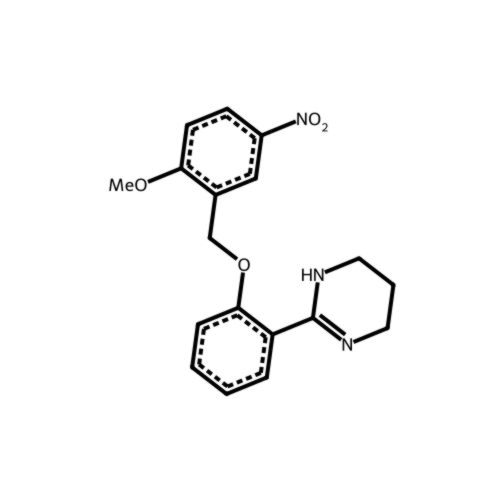 COc1ccc([N+](=O)[O-])cc1COc1ccccc1C1=NCCCN1